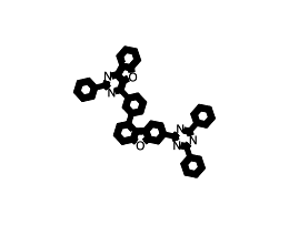 c1ccc(-c2nc(-c3ccccc3)nc(-c3ccc4c(c3)oc3cccc(-c5cccc(-c6nc(-c7ccccc7)nc7c6oc6ccccc67)c5)c34)n2)cc1